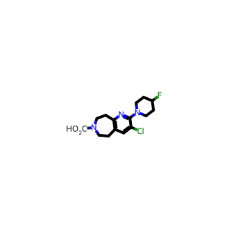 O=C(O)N1CCc2cc(Cl)c(N3CCC(F)CC3)nc2CC1